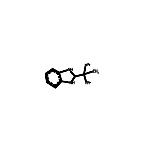 CCCC(C)(CCC)C1Nc2ccccc2N1